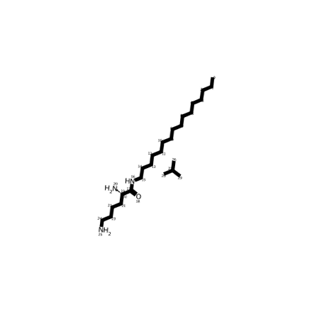 CCCCCCCCCCCCCCCCNC(=O)[C@@H](N)CCCCN.C[C](C)C